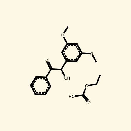 CCOC(=O)O.COc1cc(OC)cc(C(O)C(=O)c2ccccc2)c1